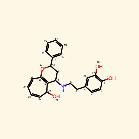 Oc1ccc(CCNC2CC(c3ccccc3)OC3=C2C(O)C=CC=C3)cc1O